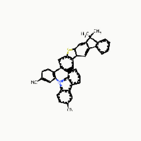 CC1(C)C2=CC3Sc4cc(C5=C(n6c7ccccc7c7cc(C#N)ccc76)C=C(C#N)CC5)c#cc4C3C=C2c2ccccc21